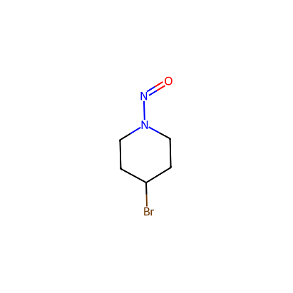 O=NN1CCC(Br)CC1